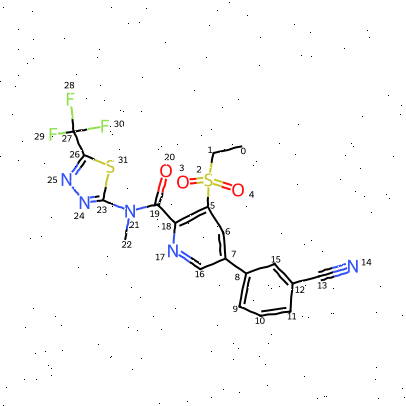 CCS(=O)(=O)c1cc(-c2cccc(C#N)c2)cnc1C(=O)N(C)c1nnc(C(F)(F)F)s1